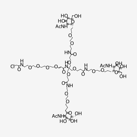 CC(=O)N[C@@H]1[C@@H](O)[C@@H](O)[C@@H](CO)O[C@@H]1CCCOCCOCCNC(=O)CCOCC(COCCC(=O)NCCOCCOCCC[C@H]1O[C@H](CO)[C@H](O)[C@H](O)[C@H]1NC(C)=O)(COCCC(=O)NCCOCCOCCC[C@H]1O[C@H](CO)[C@H](O)[C@H](O)[C@H]1NC(C)=O)NC(=O)C=COCCOCCOCCOCCNC(=O)CCl